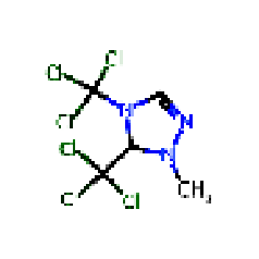 CN1N=CN(C(Cl)(Cl)Cl)C1C(Cl)(Cl)Cl